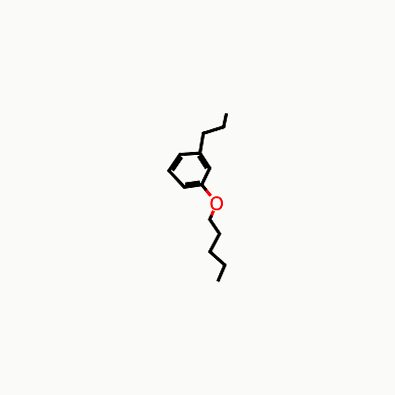 CCCCCOc1cccc(CCC)c1